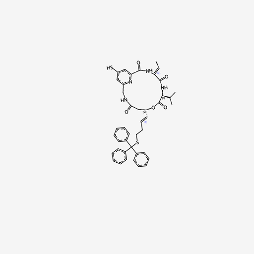 C/C=C1\NC(=O)c2cc(S)cc(n2)CNC(=O)C[C@@H](/C=C/CCSC(c2ccccc2)(c2ccccc2)c2ccccc2)OC(=O)[C@H](C(C)C)NC1=O